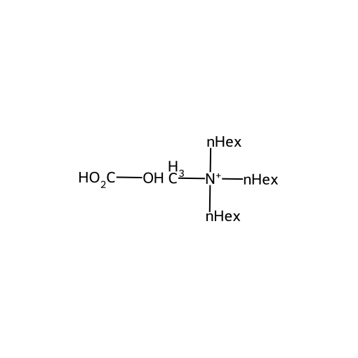 CCCCCC[N+](C)(CCCCCC)CCCCCC.O=C(O)O